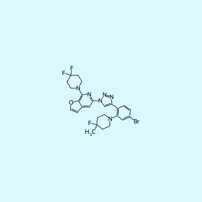 CC1(F)CCN(c2cc(Br)ccc2-c2cn(-c3cc4ccoc4c(N4CCC(F)(F)CC4)n3)nn2)CC1